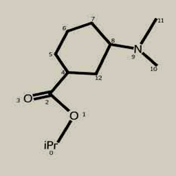 CC(C)OC(=O)C1CCCC(N(C)C)C1